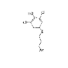 CC(=O)CCCSc1cc(Cl)c(O)c(Cl)c1